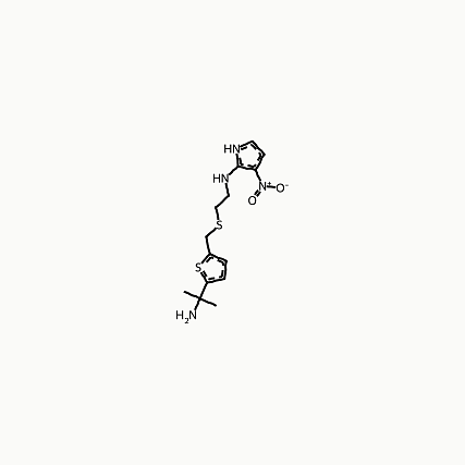 CC(C)(N)c1ccc(CSCCNc2[nH]ccc2[N+](=O)[O-])s1